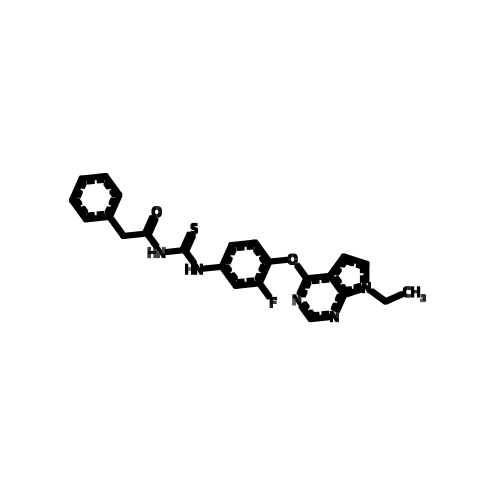 CCn1ccc2c(Oc3ccc(NC(=S)NC(=O)Cc4ccccc4)cc3F)ncnc21